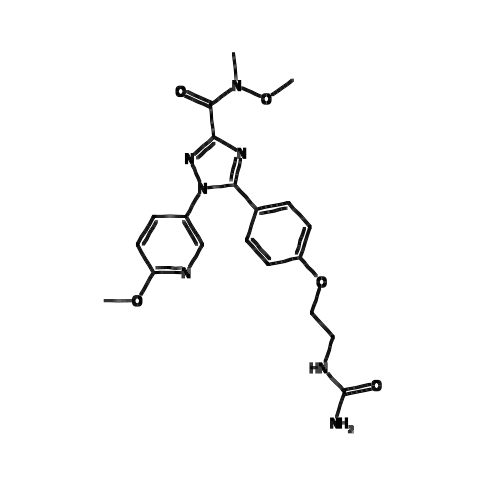 COc1ccc(-n2nc(C(=O)N(C)OC)nc2-c2ccc(OCCNC(N)=O)cc2)cn1